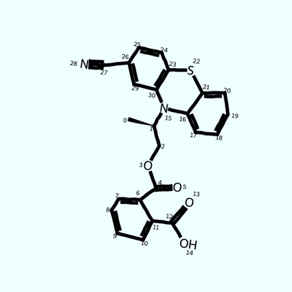 C[C@H](COC(=O)c1ccccc1C(=O)O)N1c2ccccc2Sc2ccc(C#N)cc21